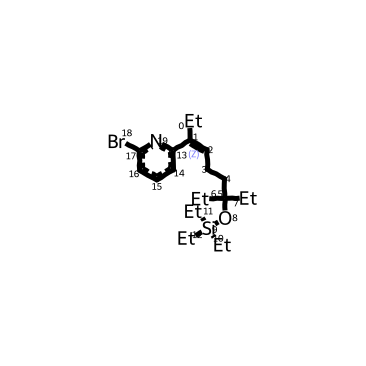 CC/C(=C/CCC(CC)(CC)O[Si](CC)(CC)CC)c1cccc(Br)n1